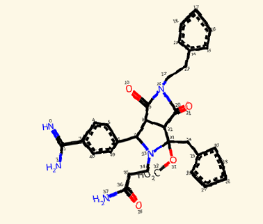 N=C(N)c1ccc(C2C3C(=O)N(CCc4ccccc4)C(=O)C3C(Cc3ccccc3)(OC(=O)O)N2CCC(N)=O)cc1